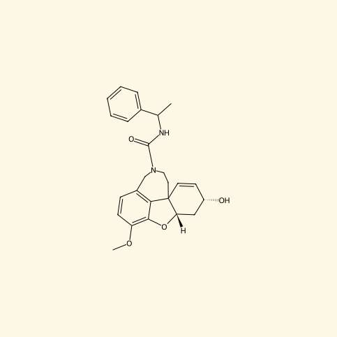 COc1ccc2c3c1O[C@H]1C[C@@H](O)C=CC31CCN(C(=O)NC(C)c1ccccc1)C2